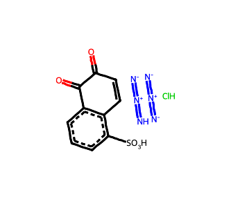 Cl.O=C1C=Cc2c(cccc2S(=O)(=O)O)C1=O.[N-]=[N+]=N.[N-]=[N+]=[N-]